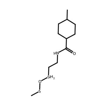 CSO[SiH2]CCNC(=O)C1CCC(C)CC1